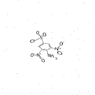 Nc1c([N+](=O)[O-])cc(S(=O)(=O)Cl)cc1[N+](=O)[O-]